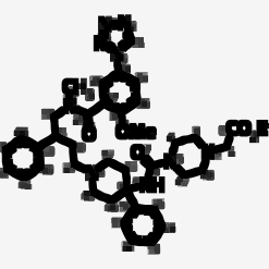 CCOC(=O)CN1CCN(C(=O)NC2(c3ccccc3)CCN(CCC(CN(C)C(=O)c3cc(-n4cnnn4)ccc3OC)c3ccccc3)CC2)CC1